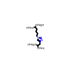 CCCCCCCC(CCCCCC)CCCCn1cc(CC(CCCCCC)CCCCCCC)nn1